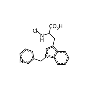 O=C(O)C(Cc1cn(Cc2cccnc2)c2ccccc12)NCl